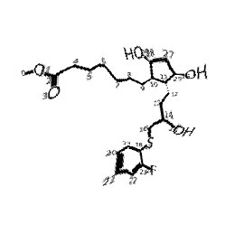 COC(=O)CCCCCC[C@@H]1[C@@H](CCC(O)CSc2ccccc2F)[C@H](O)C[C@@H]1O